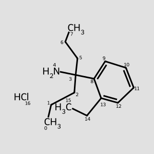 CCCC(N)(CCC)c1ccccc1CC.Cl